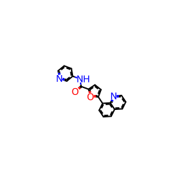 O=C(Nc1cccnc1)c1ccc(-c2cccc3cccnc23)o1